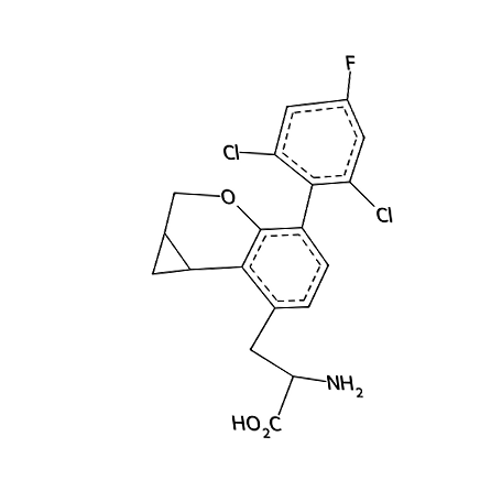 NC(Cc1ccc(-c2c(Cl)cc(F)cc2Cl)c2c1C1CC1CO2)C(=O)O